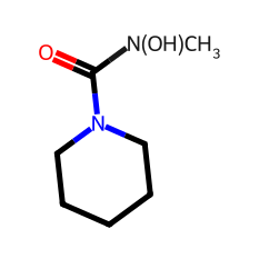 CN(O)C(=O)N1CCCCC1